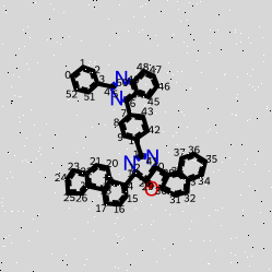 c1ccc(-c2nc(-c3ccc(-c4nc(-c5cccc6c5ccc5ccccc56)c5oc6ccc7ccccc7c6c5n4)cc3)c3ccccc3n2)cc1